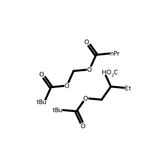 CCC(COC(=O)C(C)(C)C)C(=O)O.CCCC(=O)OCOC(=O)C(C)(C)C